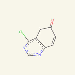 O=C1C=Cc2ncnc(Cl)c2C1